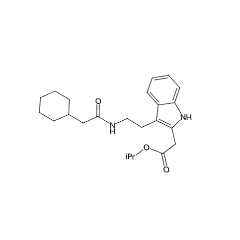 CC(C)OC(=O)Cc1[nH]c2ccccc2c1CCNC(=O)CC1CCCCC1